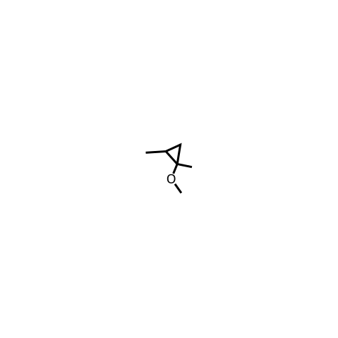 COC1(C)CC1C